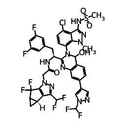 Cn1nc(NS(C)(=O)=O)c2c(Cl)ccc(N3C([C@H](Cc4cc(F)cc(F)c4)NC(=O)Cn4nc(C(F)F)c5c4C(F)(F)C4C[C@H]54)=Nc4cc(-c5cnn(C(F)F)c5)ccc4C3O)c21